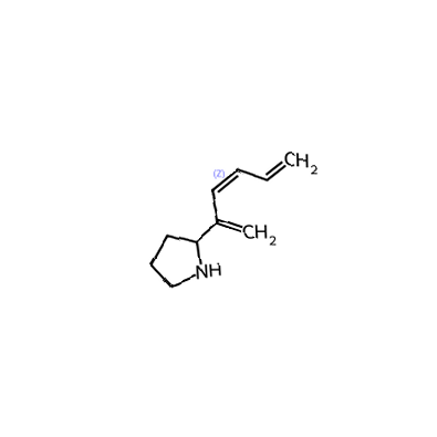 C=C/C=C\C(=C)C1CCCN1